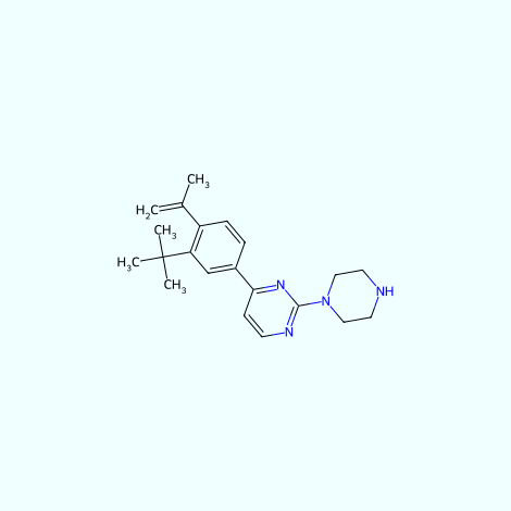 C=C(C)c1ccc(-c2ccnc(N3CCNCC3)n2)cc1C(C)(C)C